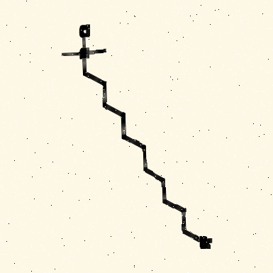 C[Si](C)(Cl)CCCCCCCCCCCBr